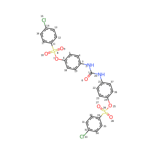 O=C(Nc1ccc(OS(=O)(=O)c2ccc(Cl)cc2)cc1)Nc1ccc(OS(=O)(=O)c2ccc(Cl)cc2)cc1